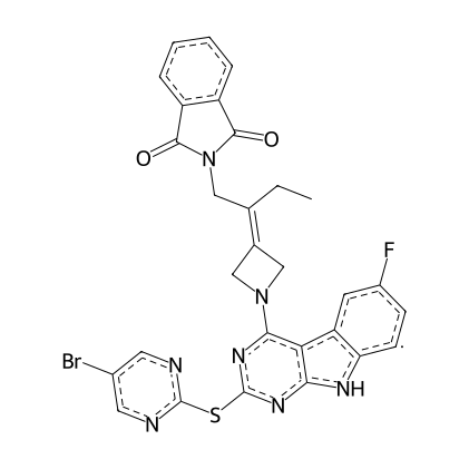 CCC(CN1C(=O)c2ccccc2C1=O)=C1CN(c2nc(Sc3ncc(Br)cn3)nc3[nH]c4[c]cc(F)cc4c23)C1